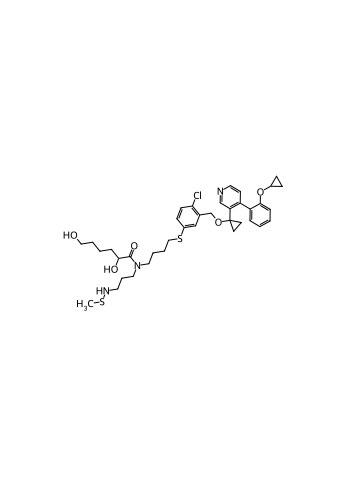 CSNCCCN(CCCCSc1ccc(Cl)c(COC2(c3cnccc3-c3ccccc3OC3CC3)CC2)c1)C(=O)C(O)CCCCO